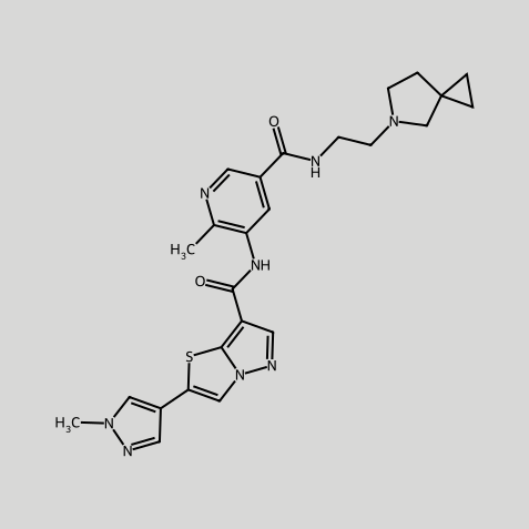 Cc1ncc(C(=O)NCCN2CCC3(CC3)C2)cc1NC(=O)c1cnn2cc(-c3cnn(C)c3)sc12